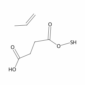 C=CC.O=C(O)CCC(=O)OS